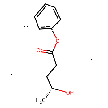 C[C@@H](O)CCC(=O)Oc1ccccc1